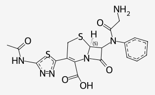 CC(=O)Nc1nnc(C2=C(C(=O)O)N3C(=O)C(N(C(=O)CN)c4ccccc4)[C@@H]3SC2)s1